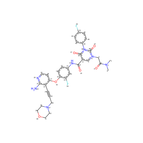 CN(C)C(=O)Cn1cc(C(=O)Nc2ccc(Oc3ccnc(N)c3C#CCN3CCOCC3)c(F)c2)c(=O)n(-c2ccc(F)cc2)c1=O